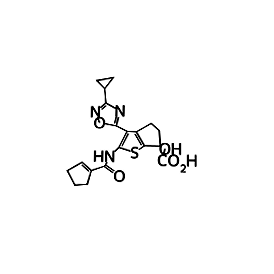 O=C(Nc1sc2c(c1-c1nc(C3CC3)no1)CCC2)C1=CCCC1.O=C(O)O